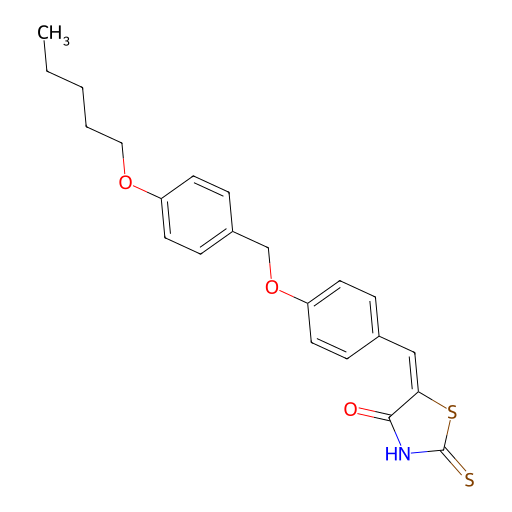 CCCCCOc1ccc(COc2ccc(C=C3SC(=S)NC3=O)cc2)cc1